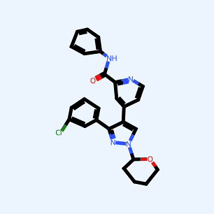 O=C(Nc1ccccc1)c1cc(-c2cn(C3CCCCO3)nc2-c2cccc(Cl)c2)ccn1